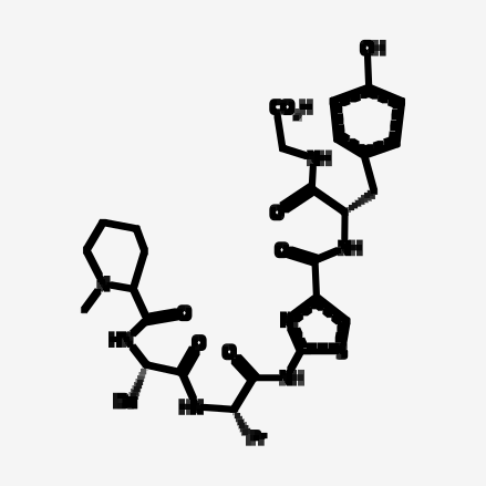 CCC(C)[C@H](NC(=O)C1CCCCN1C)C(=O)N[C@H](C(=O)Nc1nc(C(=O)N[C@@H](Cc2ccc(O)cc2)C(=O)NCC(=O)O)cs1)C(C)C